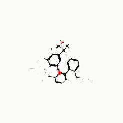 CN(C(=O)c1ccc(F)c(-c2ccccc2C(N)=O)c1F)c1c(Br)cc(C(F)(C(F)(F)F)C(F)(F)F)cc1Br